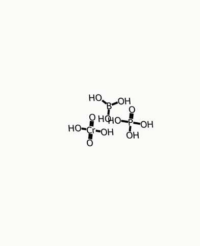 O=P(O)(O)O.OB(O)O.[O]=[Cr](=[O])([OH])[OH]